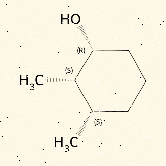 C[C@@H]1[C@H](O)CCC[C@@H]1C